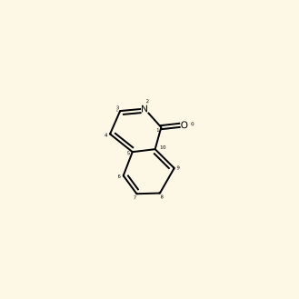 O=C1N=[C]C=C2C=CCC=C12